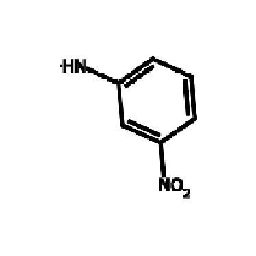 [NH]c1cccc([N+](=O)[O-])c1